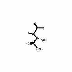 CC(C)C(C)[C@H](O)C(=O)O